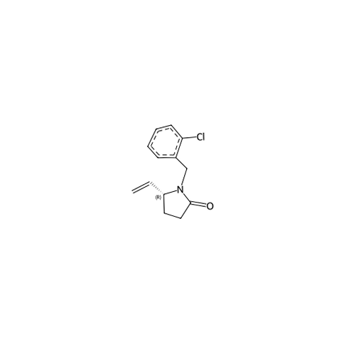 C=C[C@H]1CCC(=O)N1Cc1ccccc1Cl